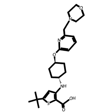 CC(C)(C)c1cc(N[C@H]2CC[C@H](Oc3cccc(CN4CCOCC4)n3)CC2)c(C(=O)O)s1